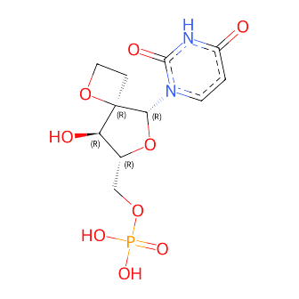 O=c1ccn([C@@H]2O[C@H](COP(=O)(O)O)[C@@H](O)[C@]23CCO3)c(=O)[nH]1